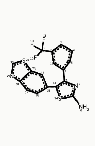 Nc1nc(-c2cccc(C(F)(F)F)c2)c(-c2ccc3ncsc3c2)s1